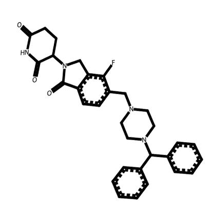 O=C1CCC(N2Cc3c(ccc(CN4CCN(C(c5ccccc5)c5ccccc5)CC4)c3F)C2=O)C(=O)N1